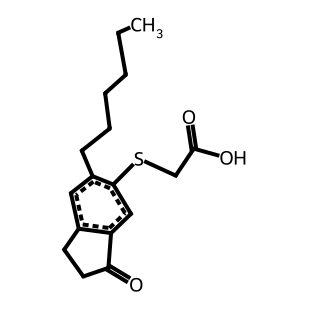 CCCCCCc1cc2c(cc1SCC(=O)O)C(=O)CC2